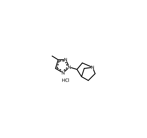 Cc1cnn(C2CN3CCC2C3)n1.Cl